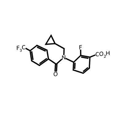 O=C(O)c1cccc(N(CC2CC2)C(=O)c2ccc(C(F)(F)F)cc2)c1F